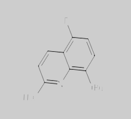 Cc1ccc2c(F)ccc(C(C)(C)C)c2n1